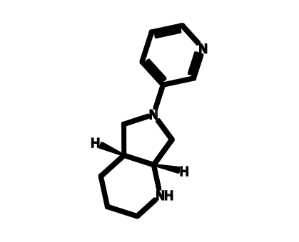 c1cncc(N2C[C@H]3CCCN[C@H]3C2)c1